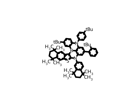 CC(C)(C)c1ccc(N2c3ccc(C(C)(C)C)cc3B3c4c2cc(-c2ccccc2C(C)(C)C)cc4N(c2ccc4c(c2)C(C)(C)CCC4(C)C)c2sc4cc5c(cc4c23)C(C)(C)CCC5(C)C)cc1